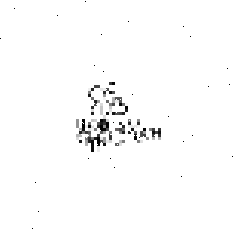 COC(=O)c1ccc2nc(C3(O)[C@@H]4CC[C@H]3CC(OCc3c(-c5c(Cl)cccc5Cl)noc3C3CC3)C4)sc2c1